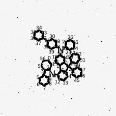 C1=Cc2c(c3ccccc3n2-c2cccc3c2-c2ccc(N(c4ccccc4)c4ccc(-c5ccccc5)cc4)cc2C3(c2ccccc2)c2ccccc2)CC1